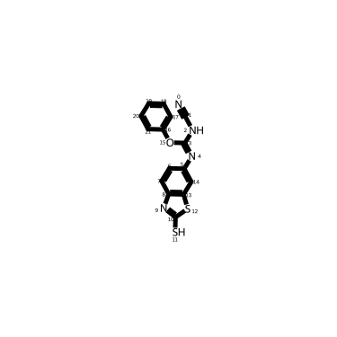 N#CN/C(=N/c1ccc2nc(S)sc2c1)Oc1ccccc1